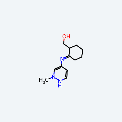 CN1C=C(N=C2CCCCC2CO)C=CN1